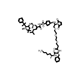 CNC([C@H](/C=C(\C)C(=O)NS(=O)(=O)c1ccc(NC(COCCOCCOCCC(=O)N[C@@H](Cc2ccccc2)C(=O)N[C@@H](C)CCCCN)N2C(=O)C=CC2=O)cc1)C(C)C)[C@@H](C(N)[C@@H](NC)C(C)(C)c1ccccc1)C(C)(C)C